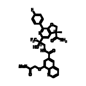 CNC(=O)COc1cc(C(=O)NC[C@](O)(c2cc3c(c(-c4ccc(F)cc4)n2)OC[C@]3(C)C(N)=O)C(F)(F)F)cc2cccnc12